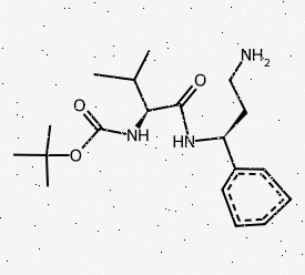 CC(C)[C@H](NC(=O)OC(C)(C)C)C(=O)N[C@@H](CCN)c1ccccc1